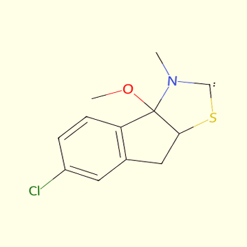 COC12c3ccc(Cl)cc3CC1S[C]N2C